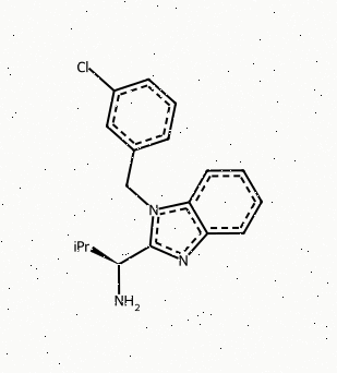 CC(C)[C@H](N)c1nc2ccccc2n1Cc1cccc(Cl)c1